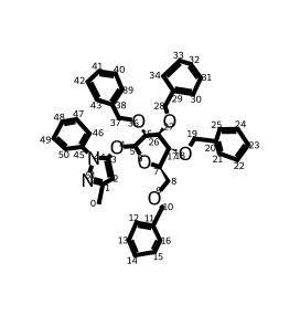 Cc1cc(OC2O[C@H](COCc3ccccc3)[C@@H](OCc3ccccc3)[C@H](OCc3ccccc3)[C@H]2OCc2ccccc2)n(-c2ccccc2)n1